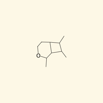 CC1OCCC2C(C)C(C)C12